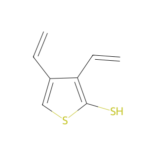 C=Cc1csc(S)c1C=C